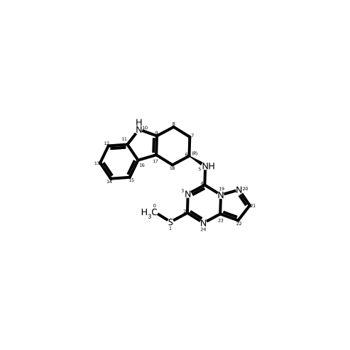 CSc1nc(N[C@@H]2CCc3[nH]c4ccccc4c3C2)n2nccc2n1